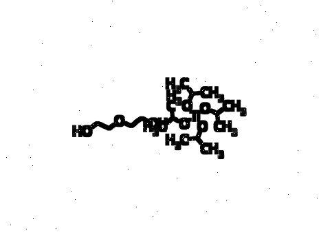 CC(C)[O][Ti]([O]C(C)C)([O]C(C)C)[O]C(C)C.OCCOCCO